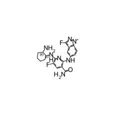 Cn1nc(F)c2cc(Nc3nc(N[C@H]4CCCC[C@H]4N)c(F)cc3C(N)=O)ccc21